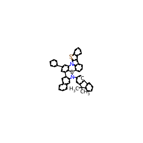 CC1(C)c2ccccc2-c2ccc(N3B4c5c(cc(-c6ccccc6)cc5-n5c6sc7ccccc7c6c6cccc4c65)-c4cc5ccccc5cc43)cc21